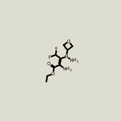 CCOC(=O)/C(N)=C(\C(F)F)N(N)C1COC1